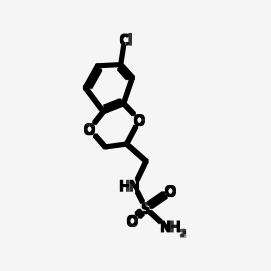 NS(=O)(=O)NCC1COc2ccc(Cl)cc2O1